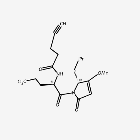 C#CCCC(=O)N[C@H](CCC(Cl)(Cl)Cl)C(=O)N1C(=O)C=C(OC)[C@H]1CC(C)C